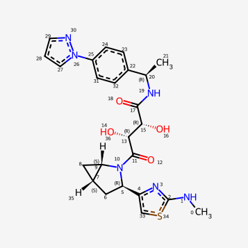 CNc1nc([C@H]2C[C@@H]3C[C@@H]3N2C(=O)[C@H](O)[C@@H](O)C(=O)N[C@H](C)c2ccc(-n3cccn3)cc2)cs1